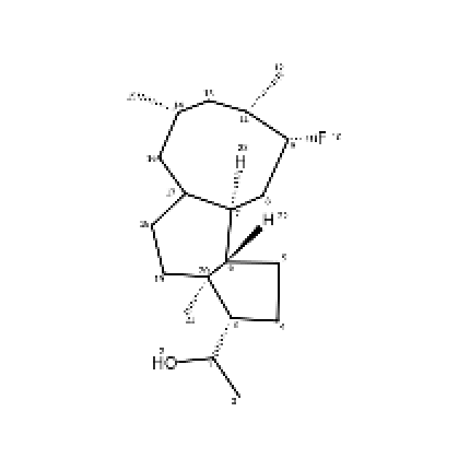 CC(O)[C@H]1CC[C@H]2[C@@H]3C[C@@H](F)[C@@H](C)C[C@@H](C)CC3CC[C@]12C